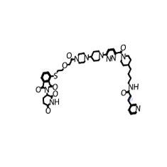 O=C(/C=C/c1cccnc1)NCCCCC1CCN(C(=O)c2ccc(N3CCC(N4CCN(C(=O)COCCSc5cccc6c5C(=O)N(C5CCC(=O)NC5=O)C6=O)CC4)CC3)nn2)CC1